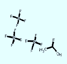 CC(O)F.F[B-](F)(F)F.F[B-](F)(F)F.F[B-](F)(F)F